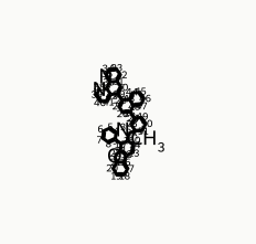 C[C@]1(C2=Nc3ccccc3C3C4=C(C=CC23)C2=CC=CCC2O4)C=C(c2ccc(-c3cc4cccnc4c4ncccc34)c3ccccc23)C=CC1